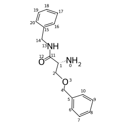 N[C@H](COCc1ccccc1)C(=O)NCc1ccccc1